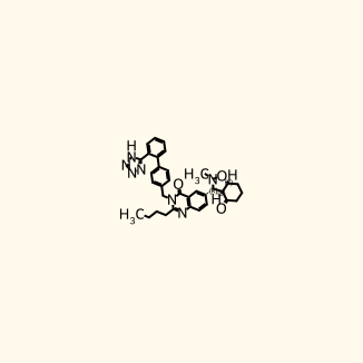 CCCCc1nc2ccc([C@H]3[C@@H]4C(=O)CCC[C@@H]4ON3C)cc2c(=O)n1Cc1ccc(-c2ccccc2-c2nnn[nH]2)cc1